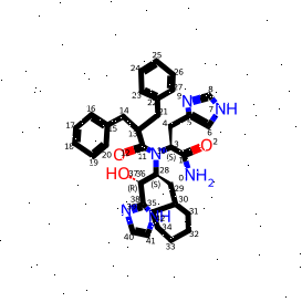 NC(=O)[C@H](Cc1c[nH]cn1)N(C(=O)C(Cc1ccccc1)Cc1ccccc1)[C@@H](CC1CCCCC1)[C@@H](O)c1ncc[nH]1